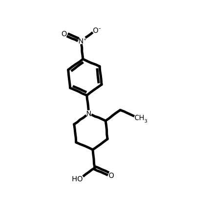 CCC1CC(C(=O)O)CCN1c1ccc([N+](=O)[O-])cc1